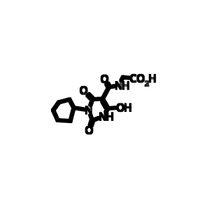 O=C(O)CNC(=O)c1c(O)[nH]c(=O)n(C2CCCCC2)c1=O